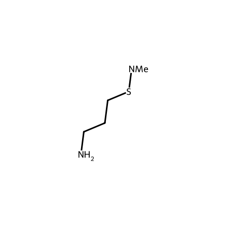 CNSCCCN